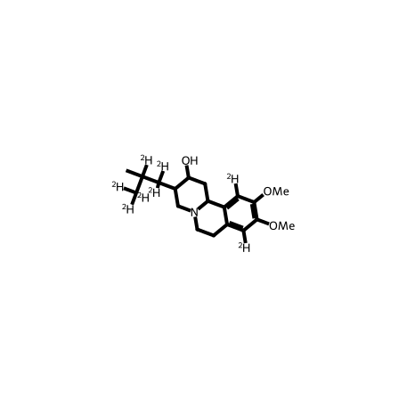 [2H]c1c2c(c([2H])c(OC)c1OC)C1CC(O)C(C([2H])([2H])C([2H])(C)C([2H])([2H])[2H])CN1CC2